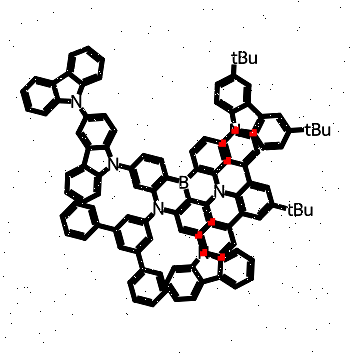 CC(C)(C)c1cc(-c2ccccc2)c(N2c3cc(-n4c5ccc(C(C)(C)C)cc5c5cc(C(C)(C)C)ccc54)ccc3B3c4ccc(-n5c6ccccc6c6cc(-n7c8ccccc8c8ccccc87)ccc65)cc4N(c4cc(-c5ccccc5)cc(-c5ccccc5)c4)c4cc(-n5c6ccccc6c6ccccc65)cc2c43)c(-c2ccccc2)c1